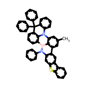 Cc1cc2c3c(c1)N1c4ccccc4C(c4ccccc4)(c4ccccc4)c4cccc(c41)B3N(c1ccccc1)c1cc3sc4ccccc4c3cc1-2